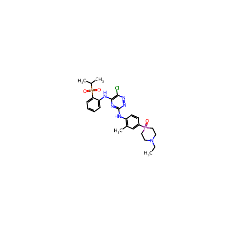 CCN1CCP(=O)(c2ccc(Nc3nnc(Cl)c(Nc4ccccc4S(=O)(=O)C(C)C)n3)c(C)c2)CC1